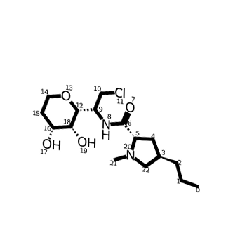 CCC[C@@H]1C[C@@H](C(=O)NC(CCl)[C@H]2OCC[C@@H](O)[C@H]2O)N(C)C1